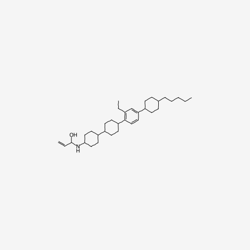 C=CC(O)NC1CCC(C2CCC(c3ccc(C4CCC(CCCCC)CC4)cc3CC)CC2)CC1